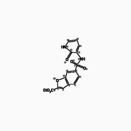 CCOC(=O)c1cc2ccc(S(=O)(=O)Nc3ccc[nH]c3=O)cc2o1